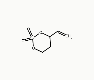 C=CC1CCOS(=O)(=O)O1